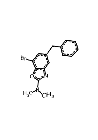 CN(C)c1nc2cc(Cc3ccccc3)cc(Br)c2o1